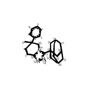 CC1(c2ccccc2)CCc2nnc(C34CC5CC(CC(C5)C3)C4)n2C1